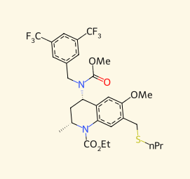 CCCSCc1cc2c(cc1OC)[C@@H](N(Cc1cc(C(F)(F)F)cc(C(F)(F)F)c1)C(=O)OC)C[C@@H](C)N2C(=O)OCC